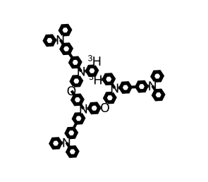 [3H]c1cccc(N(c2ccc(Oc3ccc(N(c4ccc(Oc5ccc(N(c6ccc(-c7ccc(N(c8ccccc8)c8ccccc8)cc7)cc6)c6cccc([3H])c6)cc5)cc4)c4ccc(-c5ccc(N(c6ccccc6)c6ccccc6)cc5)cc4)cc3)cc2)c2ccc(-c3ccc(N(c4ccccc4)c4ccccc4)cc3)cc2)c1